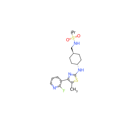 Cc1sc(N[C@H]2CC[C@H](CNS(=O)(=O)C(C)C)CC2)nc1-c1cccnc1F